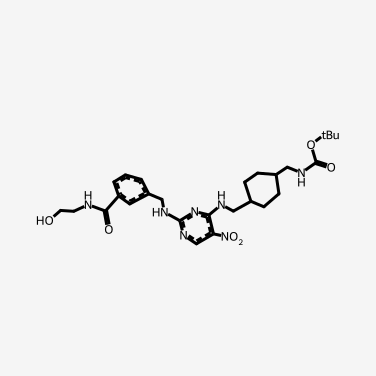 CC(C)(C)OC(=O)NCC1CCC(CNc2nc(NCc3cccc(C(=O)NCCO)c3)ncc2[N+](=O)[O-])CC1